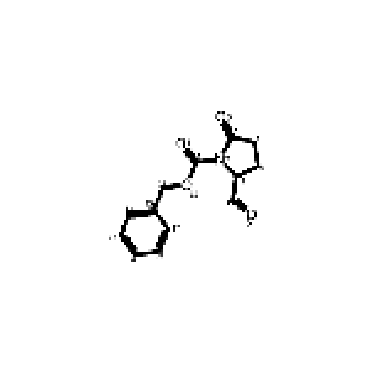 O=CC1CCC(=O)N1C(=O)OCc1ccccc1